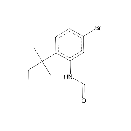 CCC(C)(C)c1ccc(Br)cc1NC=O